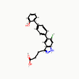 O=C(O)CCc1n[nH]c2cc(F)c(-c3ccc(-c4ccccc4O)cc3)cc12